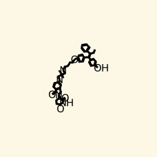 CC/C(=C(\c1ccc(O)cc1)c1ccc(OCCCCN2CC3(C2)CN(c2ccc4c(c2)CN(C2CCC(=O)NC2=O)C4=O)C3)cc1)c1ccccc1